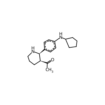 CC(=O)[C@H]1CCCN[C@H]1c1ccc(NC2CCCC2)cc1